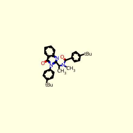 CC(c1nc2ccccc2c(=O)n1-c1ccc(C(C)(C)C)cc1)N(C)C(=O)c1ccc(C(C)(C)C)cc1